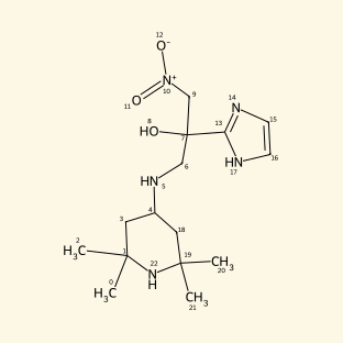 CC1(C)CC(NCC(O)(C[N+](=O)[O-])c2ncc[nH]2)CC(C)(C)N1